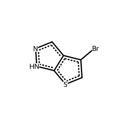 Brc1csc2[nH]ncc12